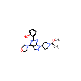 C=C(OC)N1CCC(n2ncc3c(N4CCOCC4)nc(-c4ccccc4O)nc32)CC1